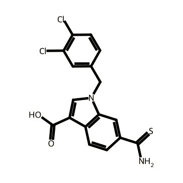 NC(=S)c1ccc2c(C(=O)O)cn(Cc3ccc(Cl)c(Cl)c3)c2c1